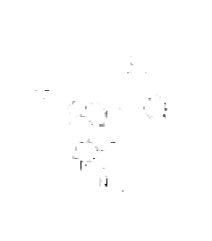 CCOC(=O)Cc1ccc(F)cc1OCc1cc(-c2ccnc(CN)c2F)c2oc(COC)cc2c1